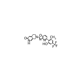 Cc1cc(C(F)(F)F)cc(O)c1-c1ccc2oc(N3CCc4cc(=O)[nH]cc4C3)nc2n1